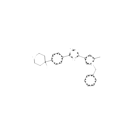 Cc1cc(-c2nc(-c3ccc(C4(F)CCOCC4)cc3)no2)cn1Cc1c[c]ccc1